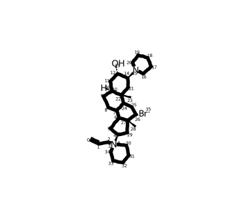 C=CC[N+]1([C@H]2CC3C4CC[C@H]5C[C@H](O)[C@@H](N6CCCCC6)C[C@]5(C)C4CC[C@]3(C)C2)CCCCC1.[Br-]